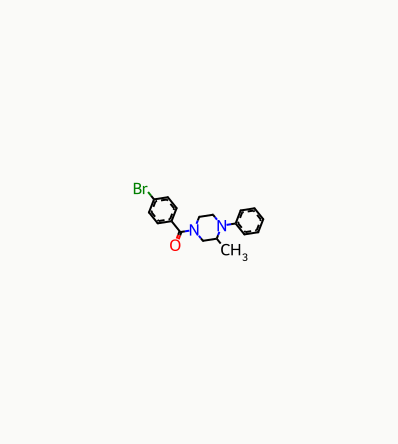 CC1CN(C(=O)c2ccc(Br)cc2)CCN1c1ccccc1